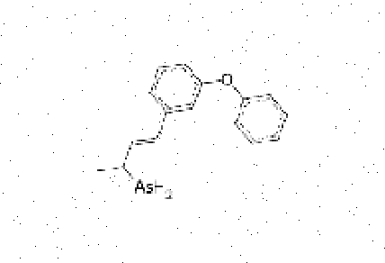 CC([AsH2])/C=C/c1cccc(Oc2ccccc2)c1